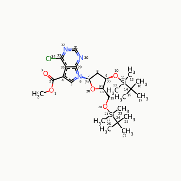 COC(=O)c1cn([C@H]2C[C@@H](O[Si](C)(C)C(C)(C)C)[C@@H](CO[Si](C)(C)C(C)(C)C)O2)c2ncnc(Cl)c12